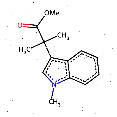 COC(=O)C(C)(C)c1cn(C)c2ccccc12